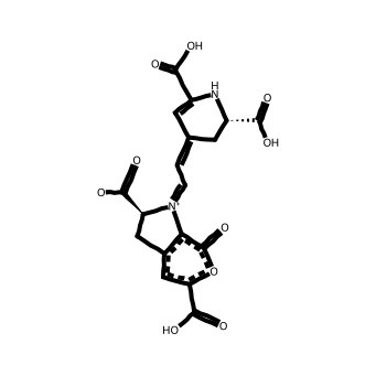 O=C(O)C1=C/C(=C/C=[N+]2/c3c(cc(C(=O)O)oc3=O)C[C@H]2C(=O)[O-])C[C@@H](C(=O)O)N1